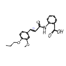 CCCOc1ccc(/C=C/C(=O)Nc2ccccc2C(=O)O)cc1OC